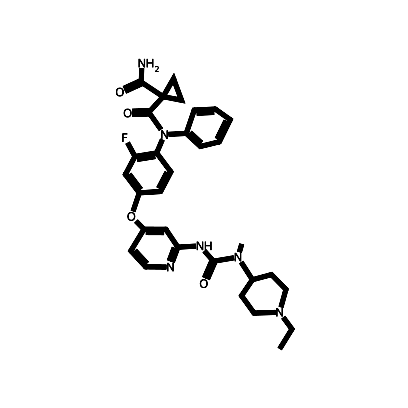 CCN1CCC(N(C)C(=O)Nc2cc(Oc3ccc(N(C(=O)C4(C(N)=O)CC4)c4ccccc4)c(F)c3)ccn2)CC1